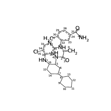 C=CC(=O)NC1CC(C2CCCCC2)CCC1Nc1nc(Nc2cc(C(N)=O)ccc2C)ncc1Cl